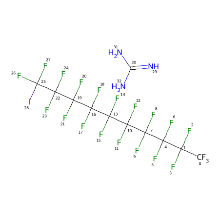 FC(F)(F)C(F)(F)C(F)(F)C(F)(F)C(F)(F)C(F)(F)C(F)(F)C(F)(F)C(F)(F)C(F)(F)I.N=C(N)N